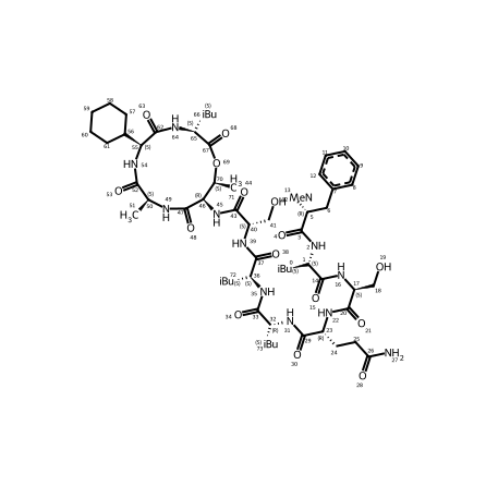 CC[C@H](C)[C@H](NC(=O)[C@@H](Cc1ccccc1)NC)C(=O)N[C@@H](CO)C(=O)N[C@H](CCC(N)=O)C(=O)N[C@@H](C(=O)N[C@H](C(=O)N[C@@H](CO)C(=O)N[C@H]1C(=O)N[C@@H](C)C(=O)N[C@@H](C2CCCCC2)C(=O)N[C@@H]([C@@H](C)CC)C(=O)O[C@H]1C)[C@@H](C)CC)[C@@H](C)CC